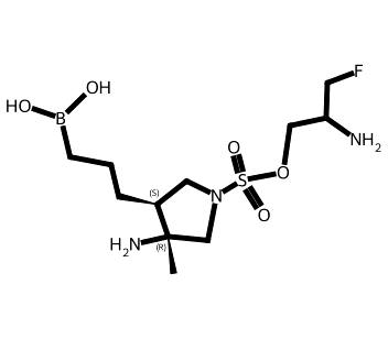 C[C@]1(N)CN(S(=O)(=O)OCC(N)CF)C[C@@H]1CCCB(O)O